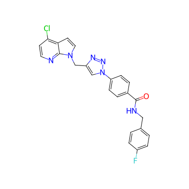 O=C(NCc1ccc(F)cc1)c1ccc(-n2cc(Cn3ccc4c(Cl)ccnc43)nn2)cc1